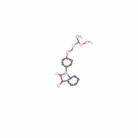 COC(C)OCOc1ccc(N2C(=O)C(=O)c3ccccc32)cc1